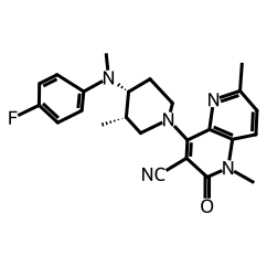 Cc1ccc2c(n1)c(N1CC[C@@H](N(C)c3ccc(F)cc3)[C@@H](C)C1)c(C#N)c(=O)n2C